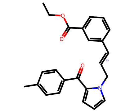 CCOC(=O)c1cccc(/C=C/Cn2cccc2C(=O)c2ccc(C)cc2)c1